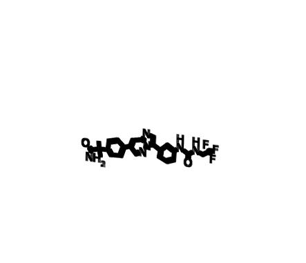 CC(C)(C(N)=O)c1ccc(-c2cnn3c(-c4cccc(NC(=O)NCC(F)(F)F)c4)cnc3c2)cc1